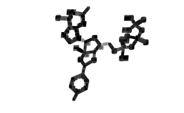 Cc1ccc(C2OC3[C@@H](COP(=O)(O)OP(=O)(O)OP(=O)(O)O)O[C@@H](n4cnc5c(=O)[nH]c(C)nc54)[C@H]3O2)cc1